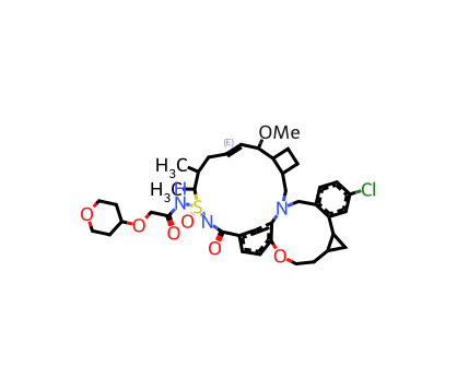 COC1/C=C/CC(C)C(C)S(=O)(NC(=O)COC2CCOCC2)=NC(=O)c2ccc3c(c2)N(Cc2ccc(Cl)cc2C2CC2CCO3)CC2CCC21